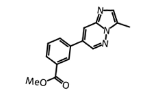 COC(=O)c1cccc(-c2cnn3c(C)cnc3c2)c1